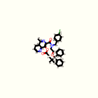 CC(=O)Oc1c(C(=O)N(CCO[Si](c2ccccc2)(c2ccccc2)C(C)(C)C)Cc2ccc(F)cc2)nc(C)c2cccnc12